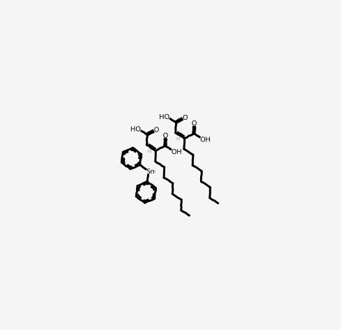 CCCCCCCC/C(=C/C(=O)O)C(=O)O.CCCCCCCC/C(=C/C(=O)O)C(=O)O.c1cc[c]([Sn][c]2ccccc2)cc1